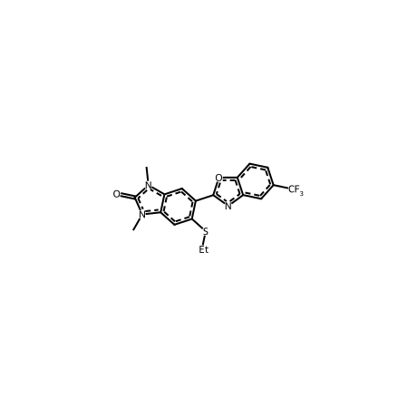 CCSc1cc2c(cc1-c1nc3cc(C(F)(F)F)ccc3o1)n(C)c(=O)n2C